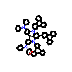 c1ccc(N(c2ccccc2)c2ccc3c(c2)N(c2ccc4c5ccccc5c5ccccc5c4c2)c2cc(-c4ccc5c6ccccc6c6ccccc6c5c4)cc4c2B3c2ccc(N(c3ccccc3)c3ccccc3)cc2N4c2ccc3c4ccccc4c4ccccc4c3c2)cc1